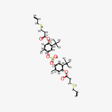 C=CCSCCC(=O)Oc1cc(C)c(OS(=O)Oc2cc(C(C)(C)C)c(OC(=O)CCSCC=C)cc2C)cc1C(C)(C)C